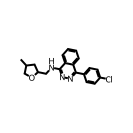 CC1COC(CNc2nnc(-c3ccc(Cl)cc3)c3ccccc23)C1